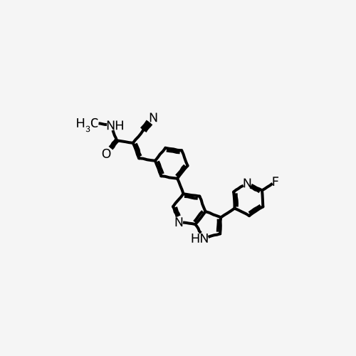 CNC(=O)/C(C#N)=C/c1cccc(-c2cnc3[nH]cc(-c4ccc(F)nc4)c3c2)c1